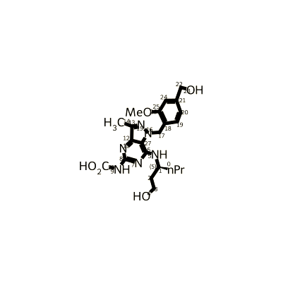 CCC[C@@H](CCO)Nc1nc(NC(=O)O)nc2c(C)nn(Cc3ccc(CO)cc3OC)c12